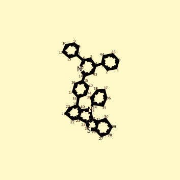 c1ccc(-c2cc(-c3ccccc3)nc(-c3ccc(-c4cccc5c6sc7ccccc7c6n(-c6ccccc6)c45)cc3)c2)cc1